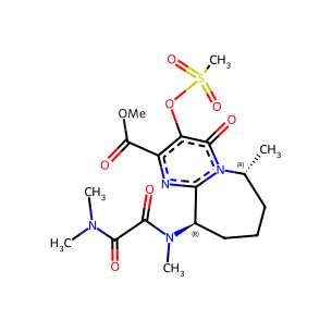 COC(=O)c1nc2n(c(=O)c1OS(C)(=O)=O)[C@H](C)CCC[C@H]2N(C)C(=O)C(=O)N(C)C